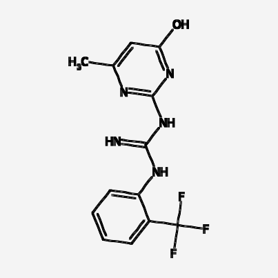 Cc1cc(O)nc(NC(=N)Nc2ccccc2C(F)(F)F)n1